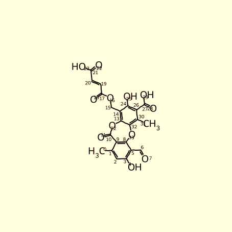 Cc1cc(O)c(C=O)c2c1C(=O)Oc1c(COC(=O)/C=C/C(=O)O)c(O)c(C(=O)O)c(C)c1O2